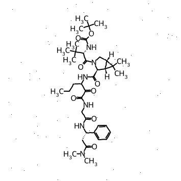 CCCC(NC(=O)[C@@H]1[C@@H]2[C@H](CN1C(=O)[C@@H](NC(=O)OC(C)(C)C)C(C)(C)C)C2(C)C)C(=O)C(=O)NCC(=O)N[C@@H](CC(=O)N(C)C)c1ccccc1